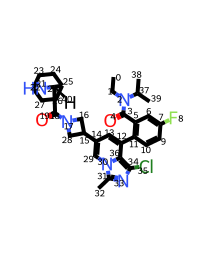 CCN(C(=O)c1cc(F)ccc1-c1cc(C2CN(C(=O)[C@@H]3NC4CCC3CC4)C2)cn2c(C)nc(Cl)c12)C(C)C